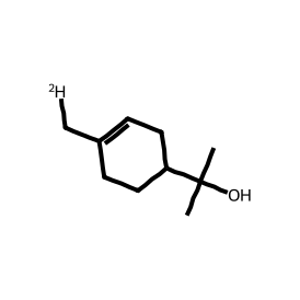 [2H]CC1=CCC(C(C)(C)O)CC1